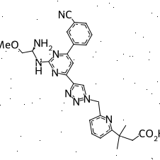 COC[C@@H](N)Nc1nc(-c2cccc(C#N)c2)cc(-c2cn(Cc3cccc(C(C)(C)CC(=O)O)n3)nn2)n1